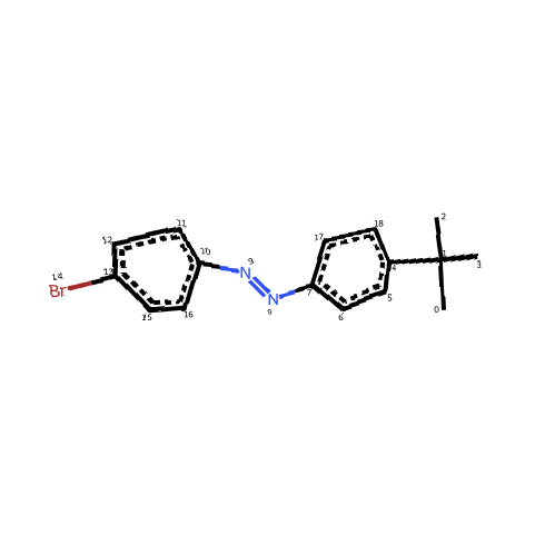 CC(C)(C)c1ccc(N=Nc2ccc(Br)cc2)cc1